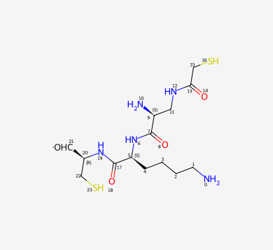 NCCCC[C@H](NC(=O)[C@@H](N)CNC(=O)CS)C(=O)N[C@H]([C]=O)CS